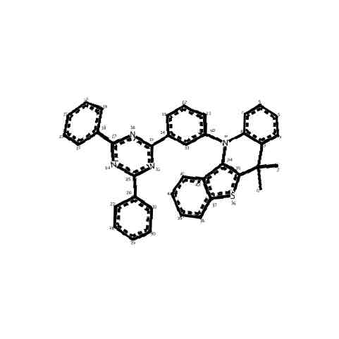 CC1(C)c2ccccc2N(c2cccc(-c3nc(-c4ccccc4)nc(-c4ccccc4)n3)c2)c2c1sc1ccccc21